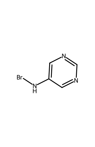 BrNc1cncnc1